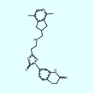 Cc1ncc(F)c2c1CC(CNCCc1nn(-c3ccc4c(c3)NC(=O)CO4)c(=O)o1)C2